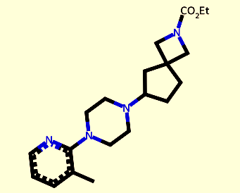 CCOC(=O)N1CC2(CCC(N3CCN(c4ncccc4C)CC3)C2)C1